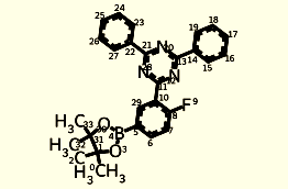 CC1(C)OB(c2ccc(F)c(-c3nc(-c4ccccc4)nc(-c4ccccc4)n3)c2)OC1(C)C